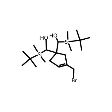 CC(C)(C)[Si](C)(C)C(O)C1(C(O)[Si](C)(C)C(C)(C)C)CC=C(CBr)C1